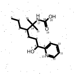 CCCC(CCC(O)c1ccccn1)C(C)(C)NC(=O)O